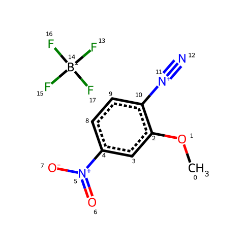 COc1cc([N+](=O)[O-])ccc1[N+]#N.F[B-](F)(F)F